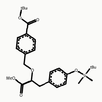 COC(=O)C(Cc1ccc(O[Si](C)(C)C(C)(C)C)cc1)OCc1ccc(C(=O)OC(C)(C)C)cc1